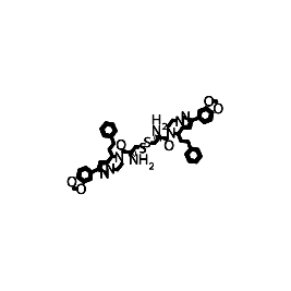 N[C@@H](CSSC[C@H](N)C(=O)N1CCn2nc(-c3ccc4c(c3)OCO4)cc2C1CCc1ccccc1)C(=O)N1CCn2nc(-c3ccc4c(c3)OCO4)cc2C1CCc1ccccc1